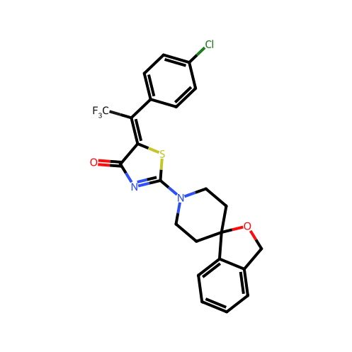 O=C1N=C(N2CCC3(CC2)OCc2ccccc23)S/C1=C(\c1ccc(Cl)cc1)C(F)(F)F